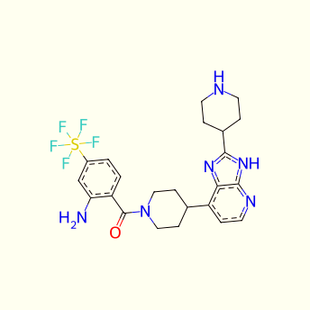 Nc1cc(S(F)(F)(F)(F)F)ccc1C(=O)N1CCC(c2ccnc3[nH]c(C4CCNCC4)nc23)CC1